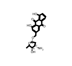 CC1O[C@H](OCc2cc(O)c3c(c2)C(=O)c2cccc(O)c2C3=O)C[C@H](N)[C@H]1O